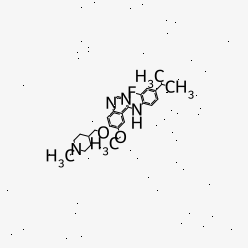 COc1cc2c(Nc3ccc(C(C)C)cc3F)ncnc2cc1OCC1CCN(C)CC1